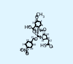 COc1ccc(NC(=O)[C@@H]2C[C@@H](CC(=O)S)CN2C(=O)OCc2ccc([N+](=O)[O-])cc2)c(C(=O)O)c1